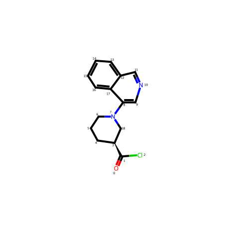 O=C(Cl)[C@H]1CCCN(c2cncc3ccccc23)C1